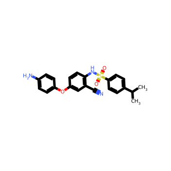 CC(C)c1ccc(S(=O)(=O)Nc2ccc(Oc3ccc(N)cc3)cc2C#N)cc1